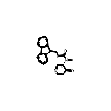 CN(C(=O)OCC1c2ccccc2-c2ccccc21)[C@H]1C=NC=CC1=O